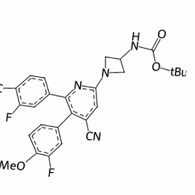 COc1ccc(-c2c(C#N)cc(N3CC(NC(=O)OC(C)(C)C)C3)nc2-c2ccc(C#N)c(F)c2)cc1F